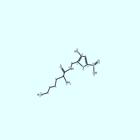 NCCCCC(N)C(=O)NCc1sc(S(=O)O)cc1S